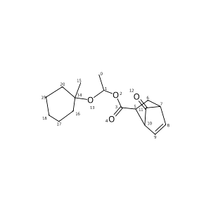 CC(OC(=O)C1CC2C=CC1C2=O)OC1(C)CCCCC1